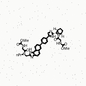 CCCN(Cc1nc2ccc3cc(-c4ccc(-c5cnc([C@@H]6[C@H]7CC[C@H](C7)N6C(=O)CNC(=O)OC)[nH]5)cc4)ccc3c2[nH]1)C(=O)CNC(=O)OC